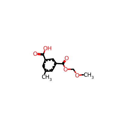 COCOC(=O)c1cc(C)cc(C(=O)O)c1